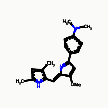 COC1=CC(c2ccc(N(C)C)cc2)=NC1=Cc1[nH]c(C)cc1C